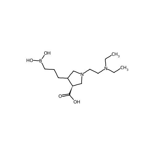 CCN(CC)CCN1CC(CCCB(O)O)[C@H](C(=O)O)C1